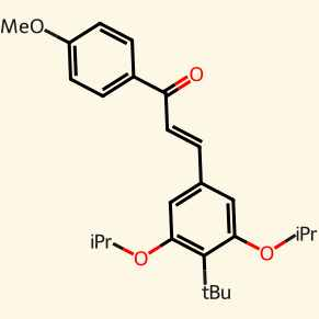 COc1ccc(C(=O)C=Cc2cc(OC(C)C)c(C(C)(C)C)c(OC(C)C)c2)cc1